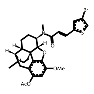 COc1cc(OC(C)=O)c2c3c1O[C@H]1[C@H](N(C)C(=O)/C=C/c4cc(Br)cs4)CC[C@H]4[C@@H](C2)N(C)CC[C@@]341